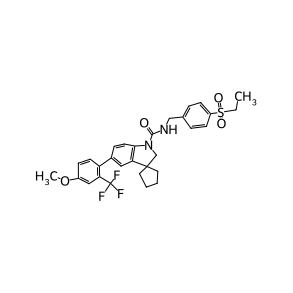 CCS(=O)(=O)c1ccc(CNC(=O)N2CC3(CCCC3)c3cc(-c4ccc(OC)cc4C(F)(F)F)ccc32)cc1